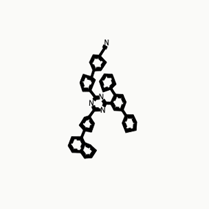 N#Cc1ccc(-c2cccc(-c3nc(-c4ccc(-c5cccc6ccccc56)cc4)nc(-c4cc(-c5ccccc5)ccc4-c4ccccc4)n3)c2)cc1